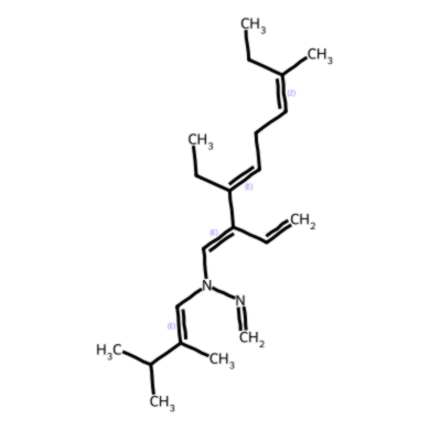 C=CC(=C\N(/C=C(\C)C(C)C)N=C)/C(=C/C/C=C(/C)CC)CC